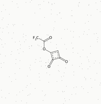 O=C(Oc1cc(=O)c1=O)C(F)(F)F